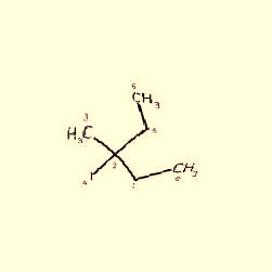 CCC(C)(I)CC